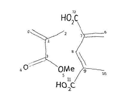 C=C(C)C(=O)OC.C=C(C=C(C)C(=O)O)C(=O)O